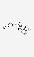 CC1=NC=C(C(=O)NC(C)CCc2ccc(C#N)cc2)C(=O)C1Br